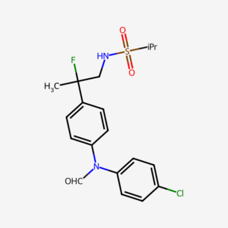 CC(C)S(=O)(=O)NCC(C)(F)c1ccc(N(C=O)c2ccc(Cl)cc2)cc1